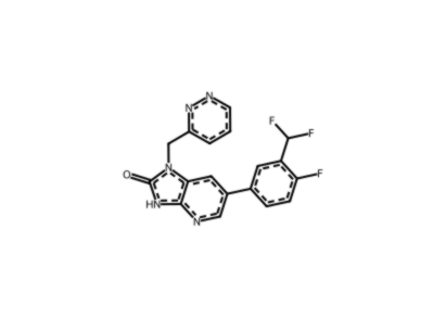 O=c1[nH]c2ncc(-c3ccc(F)c(C(F)F)c3)cc2n1Cc1cccnn1